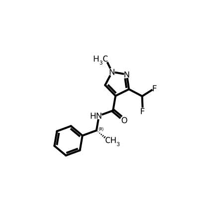 C[C@@H](NC(=O)c1cn(C)nc1C(F)F)c1ccccc1